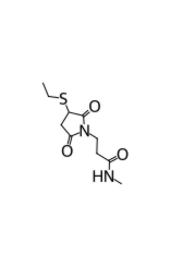 CCSC1CC(=O)N(CCC(=O)NC)C1=O